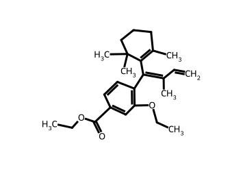 C=C/C(C)=C(\C1=C(C)CCCC1(C)C)c1ccc(C(=O)OCC)cc1OCC